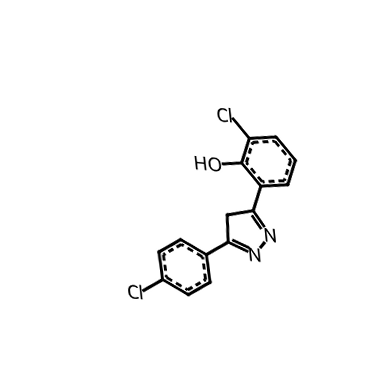 Oc1c(Cl)cccc1C1=NN=C(c2ccc(Cl)cc2)C1